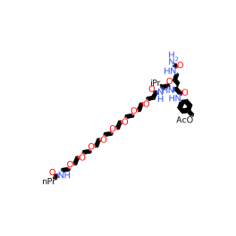 CCCC(=O)NCCOCCOCCOCCOCCOCCOCCOCCOCCC(=O)N[C@H](C(=O)N[C@@H](CCCNC(N)=O)C(=O)Nc1ccc(COC(C)=O)cc1)C(C)C